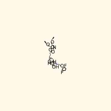 C#CCOCc1cnc(C)c(OC(=O)CCC[C@H]2CC[C@@H]3[C@@H](/C=C/CCOc4cc(F)ccc4F)[C@H](O)C[C@@H]3OC2)c1COCC#C